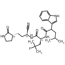 CC(C)CC(C(=O)N[C@@H](CC(C)(C)F)C(=O)N[C@H](C#N)CC[C@@H]1CCNC1=O)c1c[nH]c2ccccc12